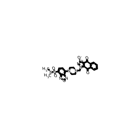 CN(C)S(=O)(=O)c1ccc(N2CCN(Cn3n[n+]([O-])c4c3C(=O)c3ccccc3C4=O)CC2)c2nonc12